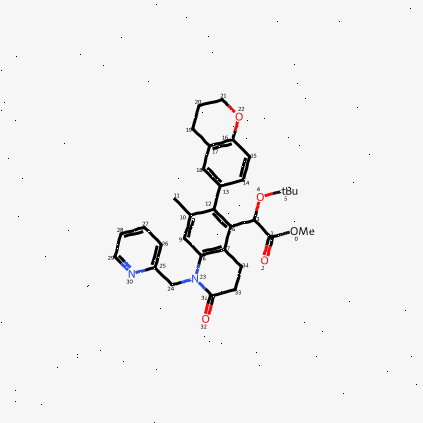 COC(=O)C(OC(C)(C)C)c1c2c(cc(C)c1-c1ccc3c(c1)CCCO3)N(Cc1ccccn1)C(=O)CC2